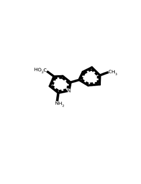 Cc1ccc(-c2cc(C(=O)O)cc(N)n2)cc1